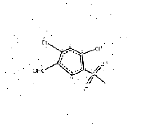 CCc1cc(Cl)c(S(C)(=O)=O)cc1C=O